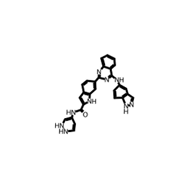 O=C(NC1=CNNC=C1)c1cc2ccc(-c3nc(Nc4ccc5[nH]ncc5c4)c4ccccc4n3)cc2[nH]1